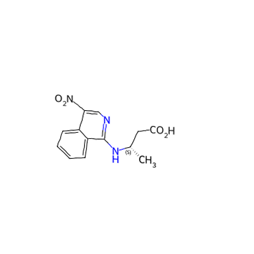 C[C@@H](CC(=O)O)Nc1ncc([N+](=O)[O-])c2ccccc12